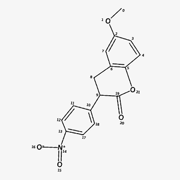 COc1ccc2c(c1)CC(c1ccc([N+](=O)[O-])cc1)C(=O)O2